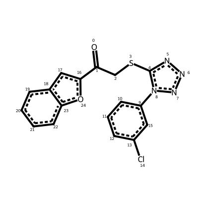 O=C(CSc1nnnn1-c1cccc(Cl)c1)c1cc2ccccc2o1